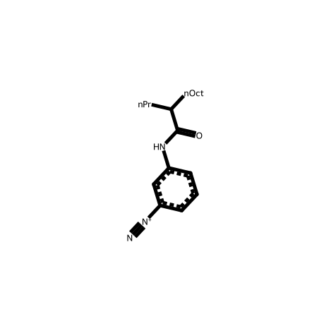 CCCCCCCCC(CCC)C(=O)Nc1cccc([N+]#N)c1